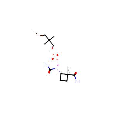 CC[C@@]1(C(N)=O)CC[C@H]1N(OS(=O)(=O)OCC(C)(C)CSC(C)=O)C(N)=O